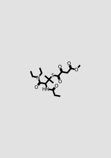 CCC(=O)NC(C(=O)N(CC)CC)C(C)(C)SC(=O)C(=O)CC(=O)OC